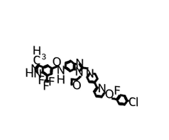 Cc1n[nH]c2c(C(F)(F)F)cc(C(=O)Nc3ccc4nc(CN5CC=C(c6cccc(OCc7ccc(Cl)cc7F)n6)CC5)n(CC5CCO5)c4c3)cc12